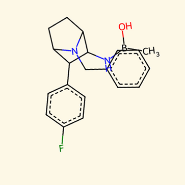 CB(O)NC1C(c2ccc(F)cc2)C2CCC1N2Cc1ccccc1